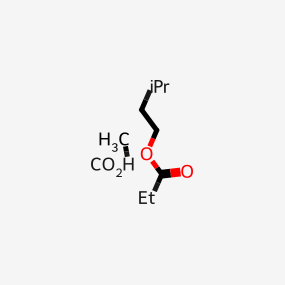 CC(=O)O.CCC(=O)OCCC(C)C